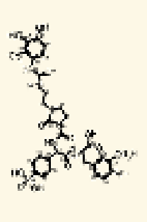 O=C(NCCN1CCN(C(=O)NC(C(=O)N[C@H]2Cc3ccc(F)c(C(=O)O)c3OB2O)c2ccc(P(=O)(O)O)cc2)C1=O)Nc1ccc(O)c(O)c1Cl